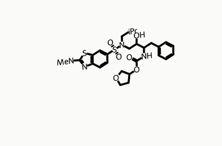 CNc1nc2ccc(S(=O)(=O)N(CC(C)C)CC(O)C(Cc3ccccc3)NC(=O)OC3CCOC3)cc2s1